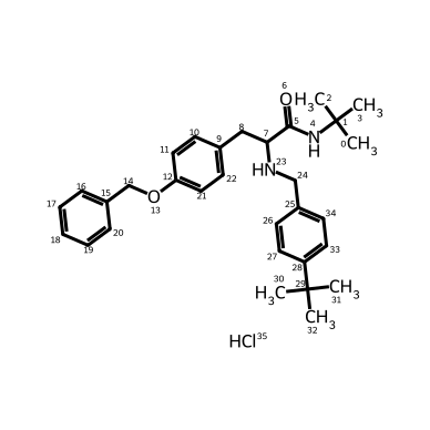 CC(C)(C)NC(=O)C(Cc1ccc(OCc2ccccc2)cc1)NCc1ccc(C(C)(C)C)cc1.Cl